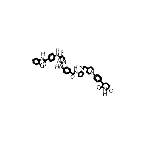 CN(CC1CCN(c2ccc(C3CCC(=O)NC3=O)cc2)CC1)[C@@H]1CCC[C@@H]1NC(=O)c1ccc(Nc2ncc(F)c(Nc3ccc(C(=O)Nc4ccccc4Cl)cc3)n2)cc1